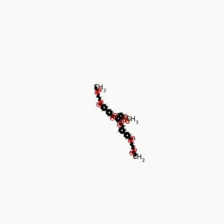 C=CC(=O)OCCCCOC(=O)C1CCC(C2CCC(C(=O)Oc3ccc(OC(=O)CC4CCCC(C5CCC(C(=O)OCCCCOC(=O)C=C)CC5)C4)c4c(OS(C)(=O)=O)cccc34)CC2)CC1